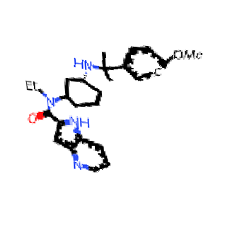 CCN(C(=O)c1cc2ncccc2[nH]1)C1CCC[C@@H](NC(C)(C)c2ccc(OC)cc2)C1